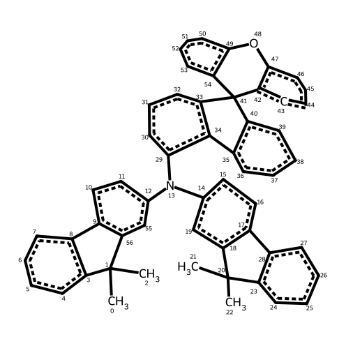 CC1(C)c2ccccc2-c2ccc(N(c3ccc4c(c3)C(C)(C)c3ccccc3-4)c3cccc4c3-c3ccccc3C43c4ccccc4Oc4ccccc43)cc21